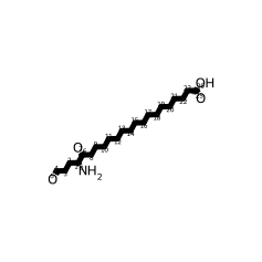 NC(CCC=O)C(=O)CCCCCCCCCCCCCCCCC(=O)O